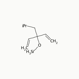 C=CC(C=C)(CC(C)C)O[SiH3]